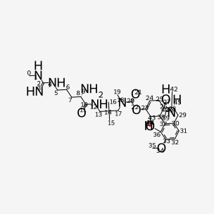 CNC(=N)NCCC[C@H](N)C(=O)NCC(C)(C)CN(C)C(=O)OC1=CC[C@@]2(O)[C@H]3Cc4ccc(OC)c5c4[C@@]2(CCN3C)[C@H]1O5